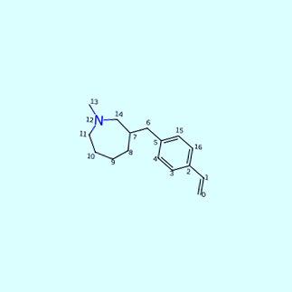 C=Cc1ccc(CC2CCCCN(C)C2)cc1